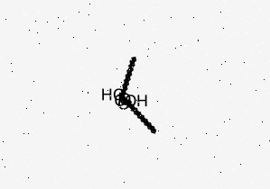 CCCCCCCCCCCCCCCCC(O)C(=O)OC(=O)C(O)CCCCCCCCCCCCCCCC